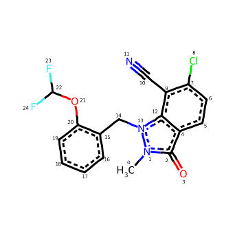 Cn1c(=O)c2ccc(Cl)c(C#N)c2n1Cc1ccccc1OC(F)F